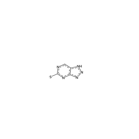 [S]c1ncc2[nH]nnc2n1